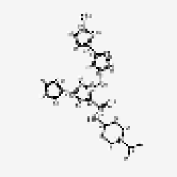 CC(C)N1CCC(NC(=O)c2cc(-c3cccs3)nn2Cc2cc(-c3ccc(Cl)s3)on2)CC1